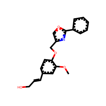 COc1cc(C=CCO)ccc1OCc1coc(-c2ccccc2)n1